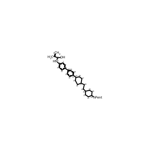 C=C(C)C(O)Nc1ccc(-c2ccc(C3CCC(CCC4CCC(CCCCC)CC4)CC3)cc2)cc1